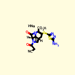 N#CCC(=O)N1C[C@H]2CC(Sc3nnc(N)s3)=C(C(=O)O)N3C(=O)[C@@H]1[C@@H]23.[NaH]